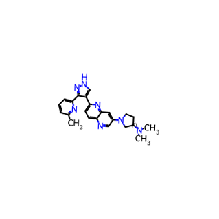 Cc1cccc(-c2n[nH]cc2-c2ccc3ncc(N4CC[C@@H](N(C)C)C4)cc3n2)n1